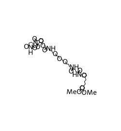 COc1ccc(CCCc2cccc(NC(=O)CCC(=O)NCCCOCCOCCOCCCNC(=O)COc3cccc4c3C(=O)N(C3CCC(=O)NC3=O)C4=O)c2)cc1OC